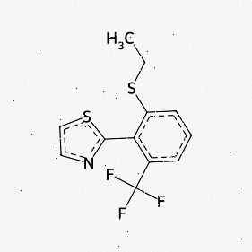 CCSc1cccc(C(F)(F)F)c1-c1nccs1